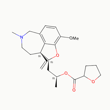 C=C[C@@]12CCN(C)Cc3ccc(OC)c(c31)O[C@H]2C[C@H](C)OC(=O)C1CCCO1